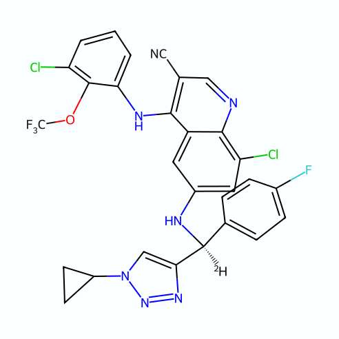 [2H][C@](Nc1cc(Cl)c2ncc(C#N)c(Nc3cccc(Cl)c3OC(F)(F)F)c2c1)(c1ccc(F)cc1)c1cn(C2CC2)nn1